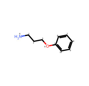 NCCCOc1[c]cccc1